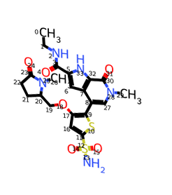 CCNC(=O)c1cc2c(-c3sc(S(N)(=O)=O)cc3OCC3CCC(=O)N3C)cn(C)c(=O)c2[nH]1